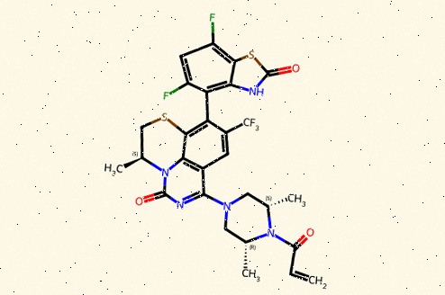 C=CC(=O)N1[C@H](C)CN(c2nc(=O)n3c4c(c(-c5c(F)cc(F)c6sc(=O)[nH]c56)c(C(F)(F)F)cc24)SC[C@@H]3C)C[C@@H]1C